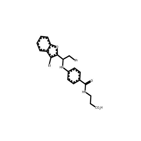 CCc1c(C(CC(C)C)Nc2ccc(C(=O)NCCC(=O)O)cc2)oc2ccccc12